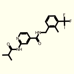 Cc1c(CNC(=O)c2ccnc(NC(=O)C(C)C)c2)cccc1C(F)(F)I